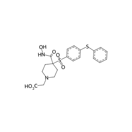 O=C(O)CN1CCC(C(=O)NO)(S(=O)(=O)c2ccc(Sc3ccccc3)cc2)CC1